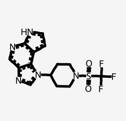 O=S(=O)(N1CCC(n2cnc3cnc4[nH]ccc4c32)CC1)C(F)(F)F